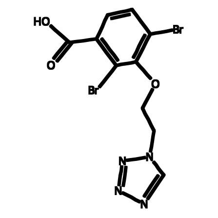 O=C(O)c1ccc(Br)c(OCCn2cnnn2)c1Br